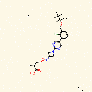 CC(CCON=C1CN(c2ncc(-c3cccc(CO[Si](C)(C)C(C)(C)C)c3F)cn2)C1)C(=O)O